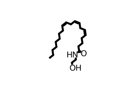 CCCCCCCC/C=C\C/C=C\C/C=C\CCCC(=O)NCCO